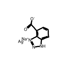 O=C([O-])c1cccc2[nH]nnc12.[Ag].[Na+]